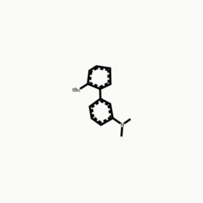 CN(C)c1cccc(-c2ccccc2C(C)(C)C)c1